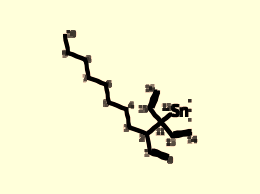 C=CC(CCCCCCCC)[C]([Sn])(C=C)C=C